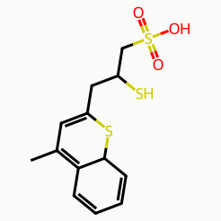 CC1=C2C=CC=CC2SC(CC(S)CS(=O)(=O)O)=C1